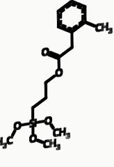 CO[Si](CCCOC(=O)Cc1ccccc1C)(OC)OC